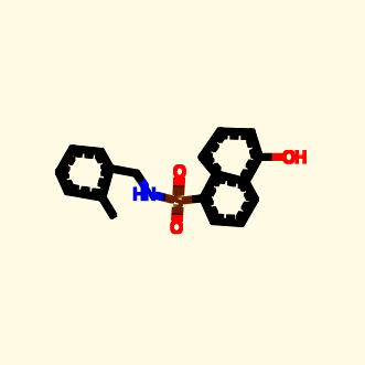 Cc1ccccc1CNS(=O)(=O)c1cccc2c(O)cccc12